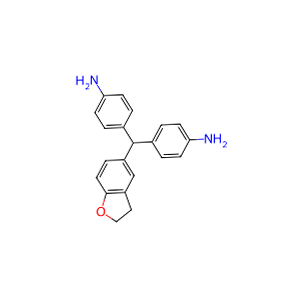 Nc1ccc(C(c2ccc(N)cc2)c2ccc3c(c2)CCO3)cc1